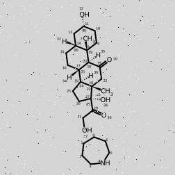 C1CCCNCC1.C[C@]12CC[C@@H](O)C[C@H]1CC[C@@H]1[C@@H]2C(=O)C[C@@]2(C)[C@H]1CC[C@]2(O)C(=O)CO